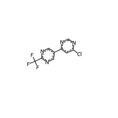 FC(F)(F)c1ncc(-c2cc(Cl)ncn2)cn1